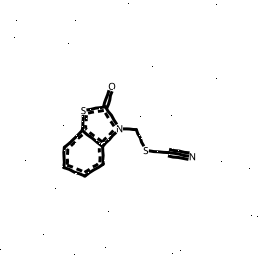 N#CSCn1c(=O)sc2ccccc21